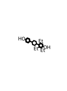 CCc1cc(O)c(CC)c(CC)c1C1CCC(c2ccc(O)cc2)CC1